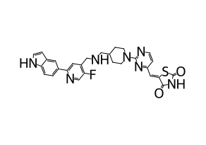 O=C1NC(=O)/C(=C/c2ccnc(N3CCC(CNCc4cc(-c5ccc6[nH]ccc6c5)ncc4F)CC3)n2)S1